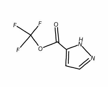 O=C(OC(F)(F)F)c1ccn[nH]1